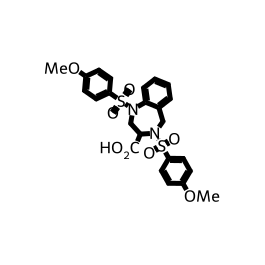 COc1ccc(S(=O)(=O)N2CC(C(=O)O)N(S(=O)(=O)c3ccc(OC)cc3)Cc3ccccc32)cc1